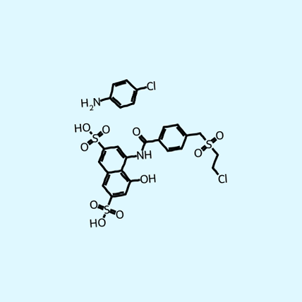 Nc1ccc(Cl)cc1.O=C(Nc1cc(S(=O)(=O)O)cc2cc(S(=O)(=O)O)cc(O)c12)c1ccc(CS(=O)(=O)CCCl)cc1